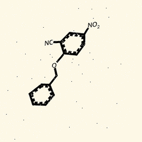 N#Cc1cc([N+](=O)[O-])ccc1OCc1ccccc1